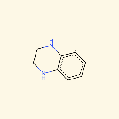 [c]1cccc2c1NCCN2